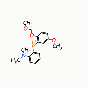 COCOc1ccc(OC)cc1Pc1ccccc1N(C)C